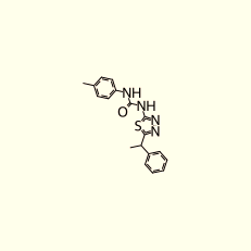 Cc1ccc(NC(=O)Nc2nnc(C(C)c3ccccc3)s2)cc1